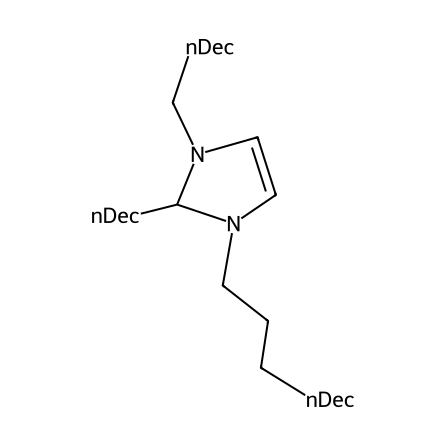 CCCCCCCCCCCCCN1C=CN(CCCCCCCCCCC)C1CCCCCCCCCC